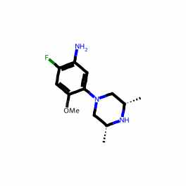 COc1cc(F)c(N)cc1N1C[C@@H](C)N[C@@H](C)C1